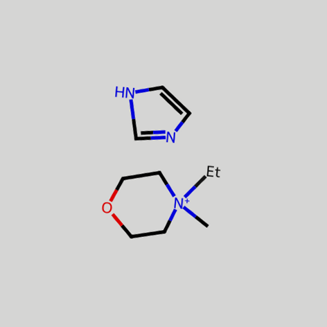 CC[N+]1(C)CCOCC1.c1c[nH]cn1